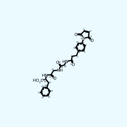 O=C(CCc1ccc(N2C(=O)C=CC2=O)cc1)NCC(=O)NCC(=O)N[C@@H](Cc1ccccc1)C(=O)O